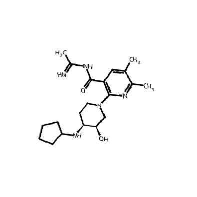 CC(=N)NC(=O)c1cc(C)c(C)nc1N1CC[C@H](NC2CCCC2)[C@H](O)C1